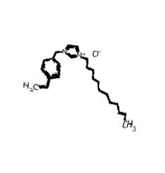 C=Cc1ccc(Cn2cc[n+](CCCCCCCCCCCC)c2)cc1.[Cl-]